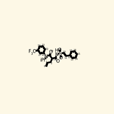 C=CCC(C(=O)NS(=O)(=O)/C=C/c1ccccc1)C(=O)N(c1cccc(C(F)(F)F)c1)C(C)C